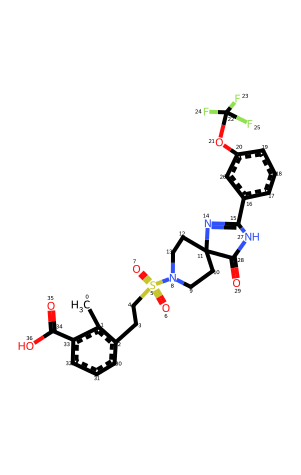 Cc1c(CCS(=O)(=O)N2CCC3(CC2)N=C(c2cccc(OC(F)(F)F)c2)NC3=O)cccc1C(=O)O